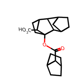 O=C(OC12CCC(C3C4CCC(C4)C31)C2C(=O)O)C1C2CCC1CC2